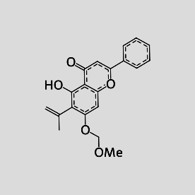 C=C(C)c1c(OCOC)cc2oc(-c3ccccc3)cc(=O)c2c1O